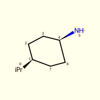 CC(C)[C@H]1CC[C@@H]([NH])CC1